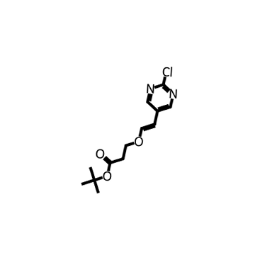 CC(C)(C)OC(=O)CCO/C=C/c1cnc(Cl)nc1